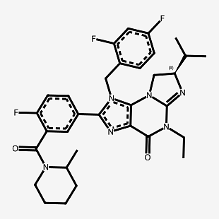 CCN1C(=O)c2nc(-c3ccc(F)c(C(=O)N4CCCCC4C)c3)n(Cc3ccc(F)cc3F)c2N2C[C@@H](C(C)C)N=C12